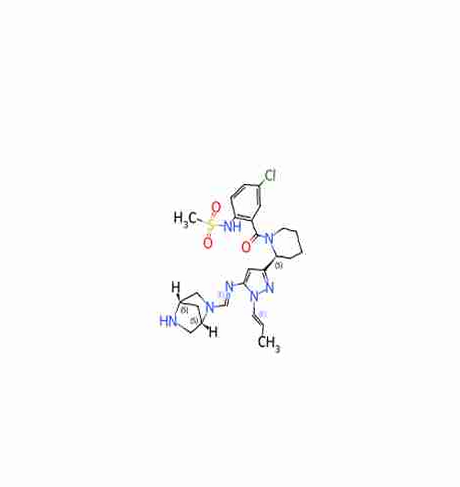 C/C=C/n1nc([C@@H]2CCCCN2C(=O)c2cc(Cl)ccc2NS(C)(=O)=O)cc1/N=C/N1C[C@@H]2C[C@H]1CN2